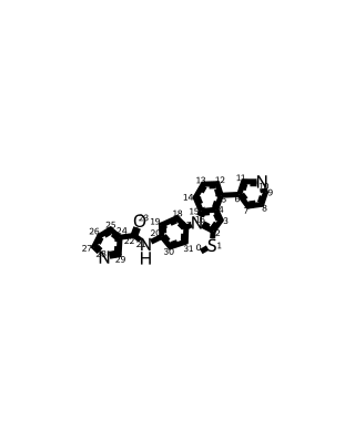 CSc1cc2c(-c3cccnc3)cccc2n1-c1ccc(NC(=O)c2cccnc2)cc1